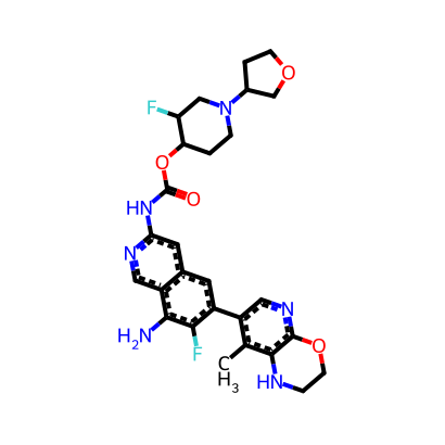 Cc1c(-c2cc3cc(NC(=O)OC4CCN(C5CCOC5)CC4F)ncc3c(N)c2F)cnc2c1NCCO2